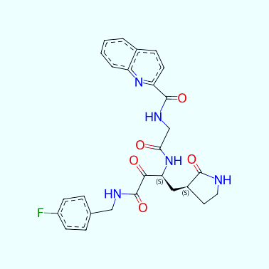 O=C(CNC(=O)c1ccc2ccccc2n1)N[C@@H](C[C@@H]1CCNC1=O)C(=O)C(=O)NCc1ccc(F)cc1